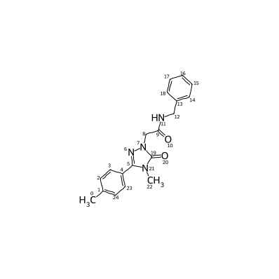 Cc1ccc(-c2nn(CC(=O)NCc3ccccc3)c(=O)n2C)cc1